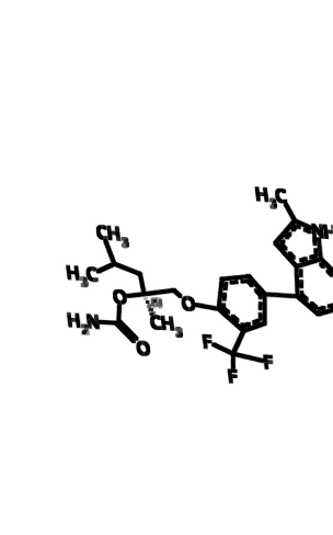 Cc1cc2c(-c3ccc(OC[C@](C)(CC(C)C)OC(N)=O)c(C(F)(F)F)c3)ccnc2[nH]1